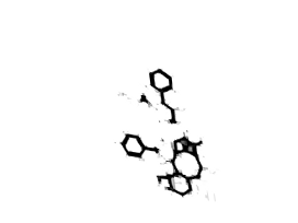 CC(=O)OC12COC1C[C@@H](O)[C@]1(C)C(=O)[C@@H](O)C3=C(C)[C@H](OC(=O)[C@@H](O)[C@H](NC(=O)OC(C)(C)C)c4ccccc4)C[C@@H]([C@H](OC(=O)c4ccccc4)[C@@H]21)C3(C)C